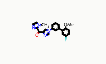 COc1ccc(F)cc1-c1cccc(-n2cnc(C(=O)c3nccn3C)c2)c1